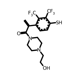 C=C(C(=O)N1CCN(CCO)CC1)c1ccc(S)c(C(F)(F)F)c1C(F)(F)F